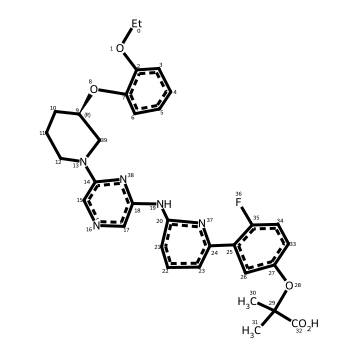 CCOc1ccccc1O[C@@H]1CCCN(c2cncc(Nc3cccc(-c4cc(OC(C)(C)C(=O)O)ccc4F)n3)n2)C1